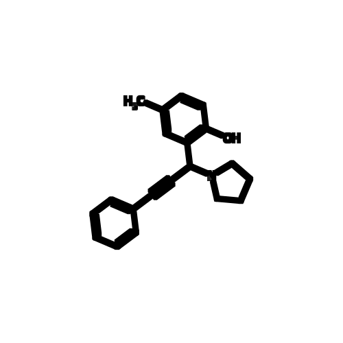 Cc1ccc(O)c(C(C#Cc2ccccc2)N2CCCC2)c1